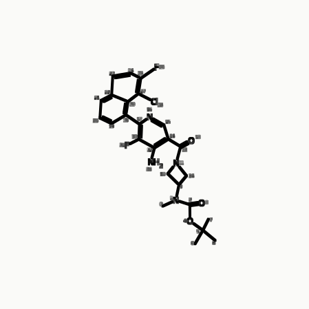 CN(C(=O)OC(C)(C)C)C1CN(C(=O)c2cnc(-c3cccc4ccc(F)c(Cl)c34)c(F)c2N)C1